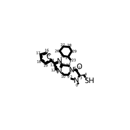 CN(C)[C@H](CS)C(=O)N1CCn2cc(-c3ccccc3)nc2[C@@H]1CC1CCCCC1